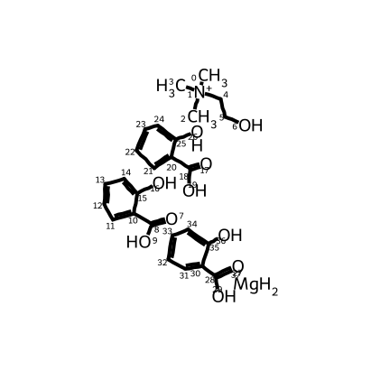 C[N+](C)(C)CCO.O=C(O)c1ccccc1O.O=C(O)c1ccccc1O.O=C(O)c1ccccc1O.[MgH2]